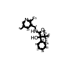 Cc1cnc(F)c(CNC(=O)C(O)(c2ccccc2)C(F)(F)F)c1